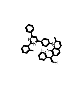 CC/C=C(/c1ccccc1)c1ccc2c(c1N)N(c1ccc(-c3cc(-c4ccccc4)nc(-c4ccccc4C)n3)cc1)C(C)C=C2